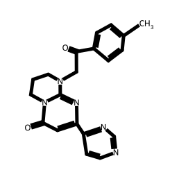 Cc1ccc(C(=O)CN2CCCn3c2nc(-c2ccncn2)cc3=O)cc1